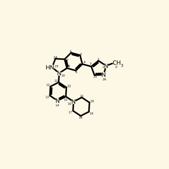 Cn1cc(-c2ccc3c(c2)N(c2ccnc(N4CCCCC4)c2)NC3)cn1